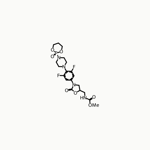 COC(=O)NCC1CN(c2cc(F)c(N3CCN(P4(=O)OCCCO4)CC3)c(F)c2)C(=O)O1